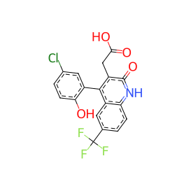 O=C(O)Cc1c(-c2cc(Cl)ccc2O)c2cc(C(F)(F)F)ccc2[nH]c1=O